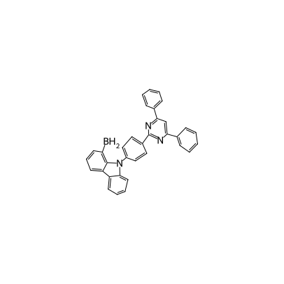 Bc1cccc2c3ccccc3n(-c3ccc(-c4nc(-c5ccccc5)cc(-c5ccccc5)n4)cc3)c12